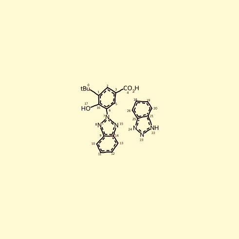 CC(C)(C)c1cc(C(=O)O)cc(-n2nc3ccccc3n2)c1O.c1ccc2[nH]nnc2c1